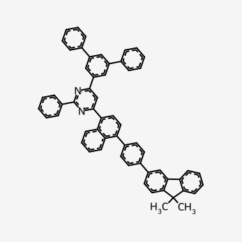 CC1(C)c2ccccc2-c2cc(-c3ccc(-c4ccc(-c5cc(-c6cc(-c7ccccc7)cc(-c7ccccc7)c6)nc(-c6ccccc6)n5)c5ccccc45)cc3)ccc21